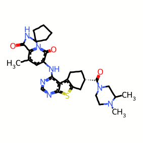 Cc1cc(Nc2ncnc3sc4c(c23)CC[C@H](C(=O)N2CCN(C)C(C)C2)C4)c(=O)n2c1C(=O)NC21CCCC1